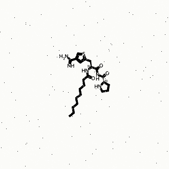 CCCCCCCCCC(=O)N[C@@H](Cc1cc(C(=N)N)cs1)C(=O)NC(=O)[C@@H]1CCCN1